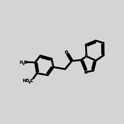 Nc1ccc(CC(=O)c2ncc3ccccn23)cc1C(=O)O